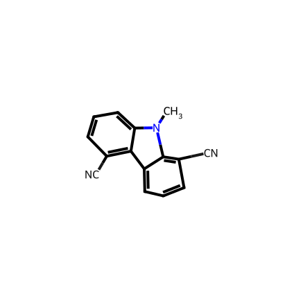 Cn1c2cccc(C#N)c2c2cccc(C#N)c21